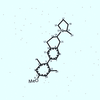 COc1cc(C)c(-c2ccc3c(c2)CCC(N2CCCC2C)C3)c(C)c1